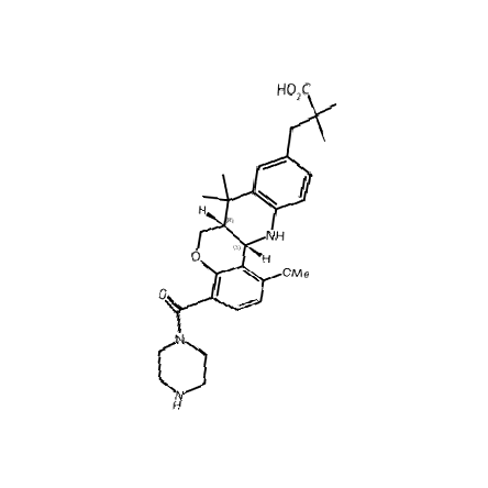 COc1ccc(C(=O)N2CCNCC2)c2c1[C@H]1Nc3ccc(CC(C)(C)C(=O)O)cc3C(C)(C)[C@H]1CO2